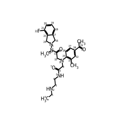 CCNCCNC(=O)CN(CC(=O)N(C)N1Cc2cccc(F)c2C1)c1ccc(C(C)=O)cc1C